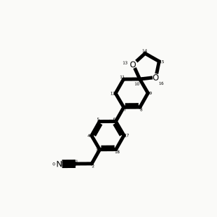 N#CCc1ccc(C2=CCC3(CC2)OCCO3)cc1